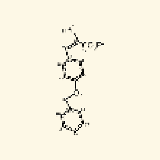 CCCC(=Cc1ccc(OCc2ccccc2)cc1)C(=O)OCC